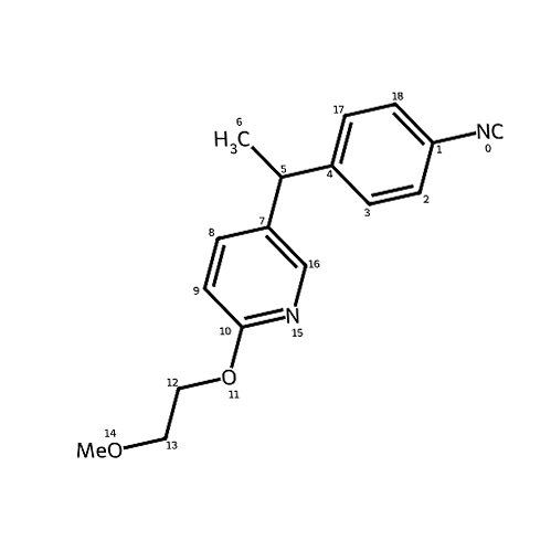 [C-]#[N+]c1ccc(C(C)c2ccc(OCCOC)nc2)cc1